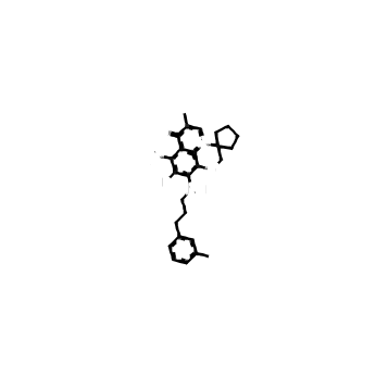 Cc1cccc(CCCNc2c(F)c(N)c3c(=O)c(C)cn4c3c2OCC42CCCC2)c1